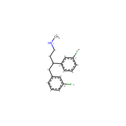 CNCCC(Cc1cccc(F)c1)c1cccc(F)c1